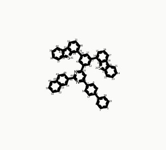 c1ccc(-c2ccc(-c3cc(-c4cc(-c5cccc6c5sc5ccccc56)cc(-c5cccc6c5sc5ccccc56)c4)nc(-c4ccc5ccccc5c4)n3)cc2)cc1